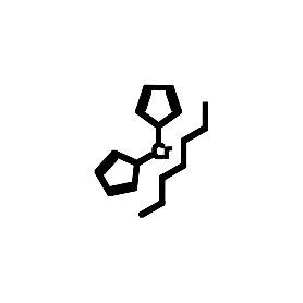 C1=C[CH]([Cr][CH]2C=CC=C2)C=C1.CCCCCCC